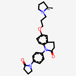 C[C@@H]1CCCN1CCCOc1ccc2c(c1)CCC(=O)N2c1ccc(N2CCCC2=O)cc1